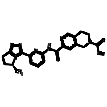 C[C@@H]1CCc2nnc(-c3cccc(NC(=O)c4cc5c(cn4)CCN(C(=O)C(C)(C)C)C5)n3)n21